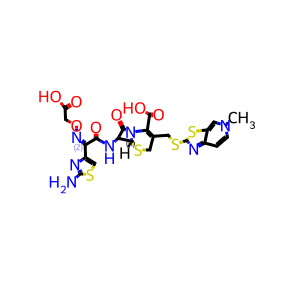 CN1C=CC2=NC(SCC3=C(C(=O)O)N4C(=O)C(NC(=O)/C(=N\OCC(=O)O)c5csc(N)n5)[C@H]4SC3)SC2=C1